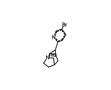 OC12CC3CCN(C3)C1C2c1ccc(Br)cn1